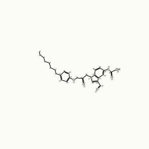 CCCCCCCCc1ccc(OCC(=O)Cn2cc(C=O)c3cc(OC(=O)O)ccc32)cc1